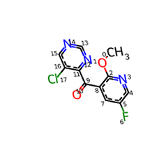 COc1ncc(F)cc1C(=O)c1ncncc1Cl